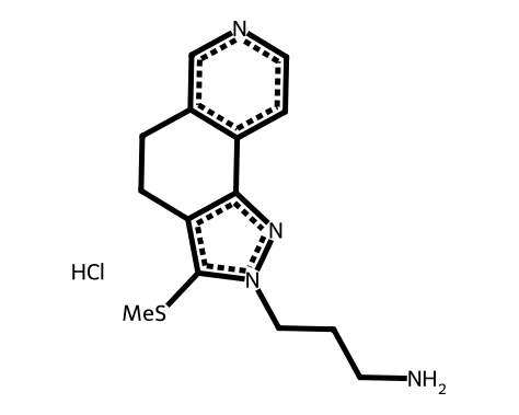 CSc1c2c(nn1CCCN)-c1ccncc1CC2.Cl